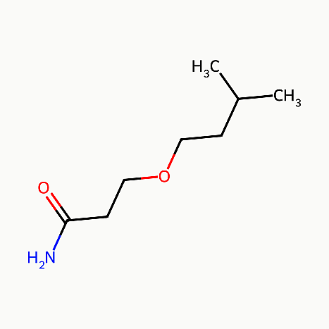 CC(C)CCOCCC(N)=O